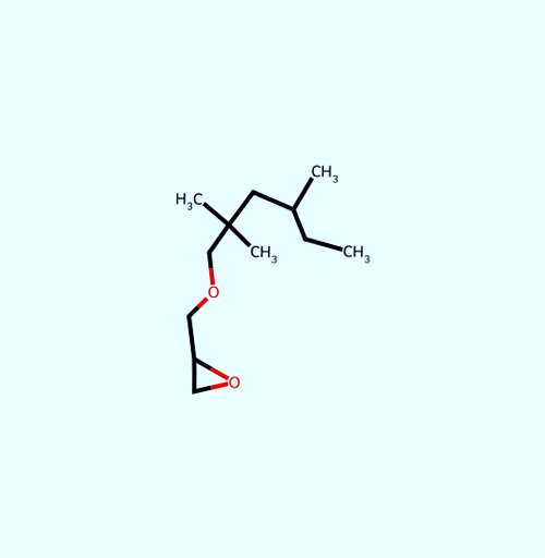 CCC(C)CC(C)(C)COCC1CO1